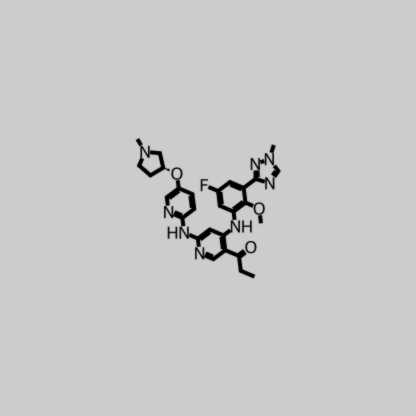 CCC(=O)c1cnc(Nc2ccc(O[C@@H]3CCN(C)C3)cn2)cc1Nc1cc(F)cc(-c2ncn(C)n2)c1OC